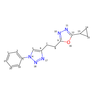 c1ccc(-n2cc(CCc3nnc(C4CC4)o3)nn2)cc1